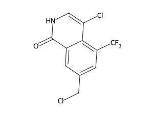 O=c1[nH]cc(Cl)c2c(C(F)(F)F)cc(CCl)cc12